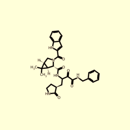 CC1(C)[C@@H]2[C@@H](C(=O)NC(C[C@@H]3CCNC3=O)C(=O)C(=O)NCc3ccccc3)N(C(=O)c3cc4ccccc4[nH]3)C[C@@H]21